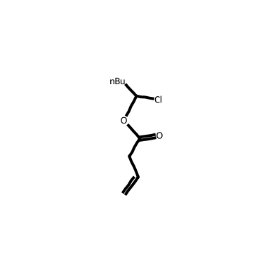 C=CCC(=O)OC(Cl)CCCC